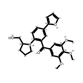 COc1cc(C(=O)c2cc(-c3ccco3)ccc2N2CCCC2CO)cc(OC)c1OC